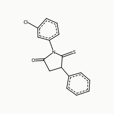 O=C1CC(c2ccccc2)C(=S)N1c1cccc(Cl)c1